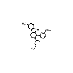 COc1cccc(C2c3[nH]c4ccc(C)cc4c3CCN2C(=O)CCN)c1